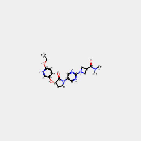 CCN(CC)C(=O)C1CN(c2ncc(N3CC[C@@H](Oc4ccc(OCC(F)(F)F)nc4)C3=O)cn2)C1